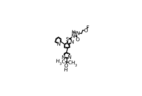 CC(C)(O)c1ncc(-c2cc(-c3ccccn3)c3sc(NC(=O)NCCOF)nc3c2)cn1